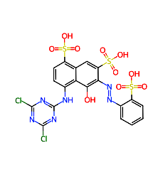 O=S(=O)(O)c1ccccc1N=Nc1c(S(=O)(=O)O)cc2c(S(=O)(=O)O)ccc(Nc3nc(Cl)nc(Cl)n3)c2c1O